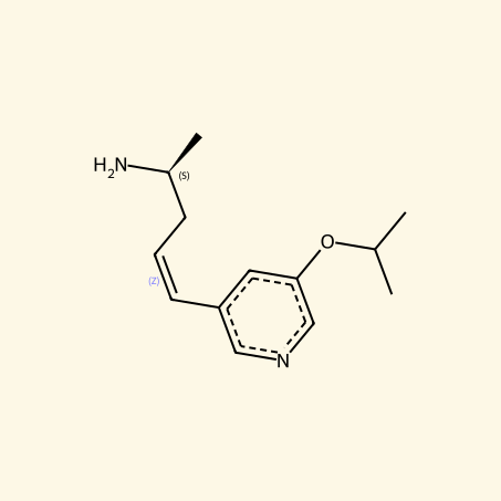 CC(C)Oc1cncc(/C=C\C[C@H](C)N)c1